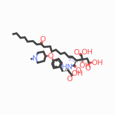 CCCCCCCC(=O)CCCCCC/C=C/[C@H](C(=O)N[C@@H](Cc1ccc(OC2CCN(C)CC2)cc1)C(=O)O)[C@@](O)(CC(=O)O)C(=O)O